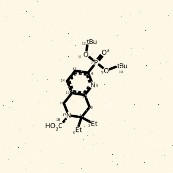 CCC1(CC)Cc2nc(P(=O)(OC(C)(C)C)OC(C)(C)C)ccc2CN1C(=O)O